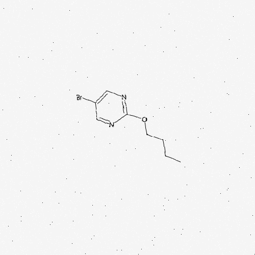 CCCCOc1ncc(Br)cn1